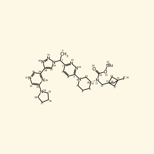 CC(c1ccc(N2CCC[C@@H](N(CC34CC(F)(C3)C4)C(=O)OC(C)(C)C)C2)nn1)n1cc(-c2cncc(N3CCCC3)n2)nn1